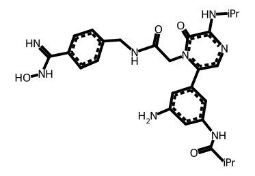 CC(C)Nc1ncc(-c2cc(N)cc(NC(=O)C(C)C)c2)n(CC(=O)NCc2ccc(C(=N)NO)cc2)c1=O